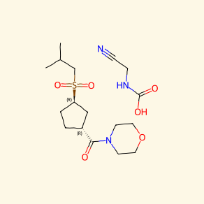 CC(C)CS(=O)(=O)[C@@H]1CC[C@@H](C(=O)N2CCOCC2)C1.N#CCNC(=O)O